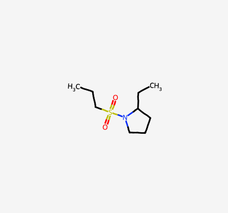 CCCS(=O)(=O)N1CCCC1CC